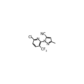 Cc1cc(C#N)n(-c2nc(Cl)ccc2C(F)(F)F)n1